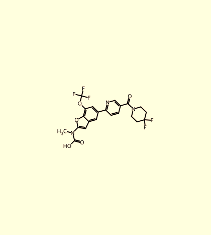 CN(C(=O)O)c1cc2cc(-c3ccc(C(=O)N4CCC(F)(F)CC4)cn3)cc(OC(F)(F)F)c2o1